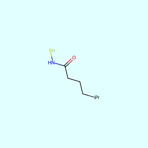 CC(C)CCCC(=O)NS